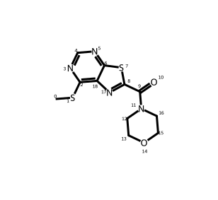 CSc1ncnc2sc(C(=O)N3CCOCC3)nc12